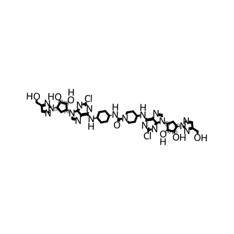 O=C(N[C@H]1CC[C@H](Nc2nc(Cl)nc3c2ncn3[C@@H]2C[C@H](n3ncc(CO)n3)[C@@H](O)[C@H]2O)CC1)N1CCC(Nc2nc(Cl)nc3c2ncn3[C@@H]2C[C@H](n3ncc(CO)n3)[C@@H](O)[C@H]2O)CC1